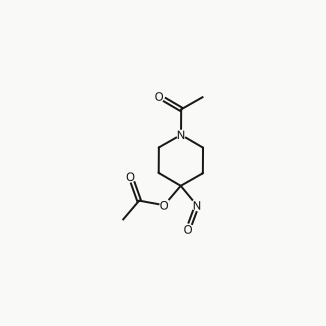 CC(=O)OC1(N=O)CCN(C(C)=O)CC1